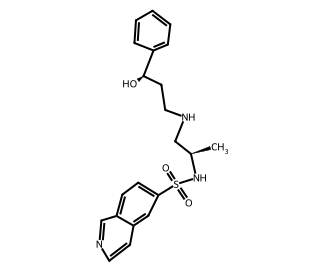 C[C@H](CNCC[C@@H](O)c1ccccc1)NS(=O)(=O)c1ccc2cnccc2c1